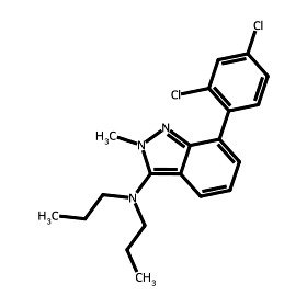 CCCN(CCC)c1c2cccc(-c3ccc(Cl)cc3Cl)c2nn1C